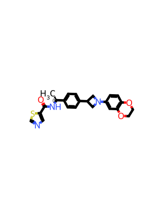 C[C@H](NC(=O)c1cncs1)c1ccc(C2CN(c3ccc4c(c3)OCCO4)C2)cc1